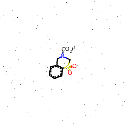 O=C(O)N1Cc2ccccc2S(=O)(=O)C1